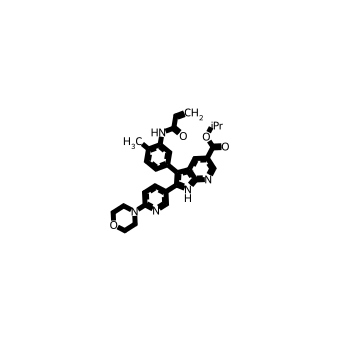 C=CC(=O)Nc1cc(-c2c(-c3ccc(N4CCOCC4)nc3)[nH]c3ncc(C(=O)OC(C)C)cc23)ccc1C